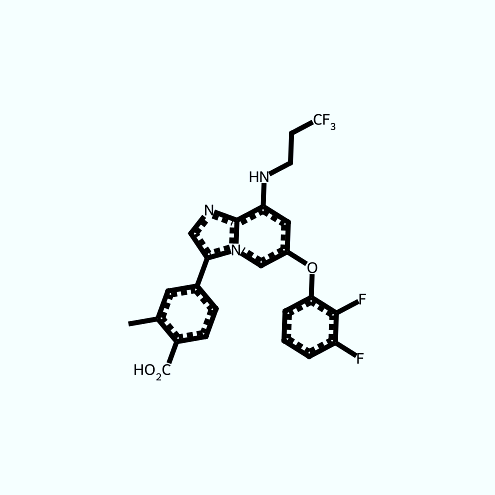 Cc1cc(-c2cnc3c(NCCC(F)(F)F)cc(Oc4cccc(F)c4F)cn23)ccc1C(=O)O